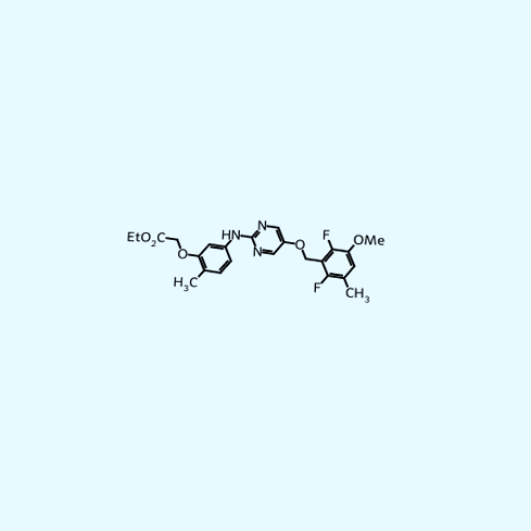 CCOC(=O)COc1cc(Nc2ncc(OCc3c(F)c(C)cc(OC)c3F)cn2)ccc1C